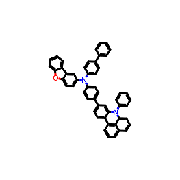 c1ccc(-c2ccc(N(c3ccc(-c4ccc5c(c4)N(c4ccccc4)c4cccc6cccc-5c46)cc3)c3ccc4oc5ccccc5c4c3)cc2)cc1